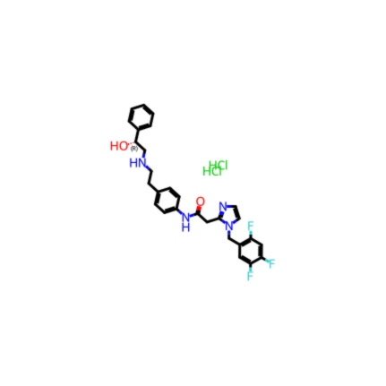 Cl.Cl.O=C(Cc1nccn1Cc1cc(F)c(F)cc1F)Nc1ccc(CCNC[C@H](O)c2ccccc2)cc1